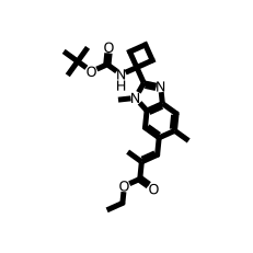 CCOC(=O)/C(C)=C/c1cc2c(cc1C)nc(C1(NC(=O)OC(C)(C)C)CCC1)n2C